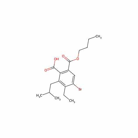 CCCCOC(=O)c1cc(Br)c(CC)c(CC(C)C)c1C(=O)O